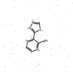 CC(C)c1nccnc1-c1nncs1